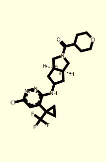 O=C(C1CCOCC1)N1C[C@H]2CC(Nc3nnc(Cl)cc3C3(C(F)(F)F)CC3)C[C@H]2C1